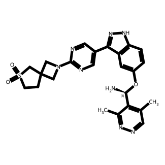 Cc1cnnc(C)c1[C@@H](N)Oc1ccc2[nH]nc(-c3cnc(N4CC5(CCS(=O)(=O)C5)C4)nc3)c2c1